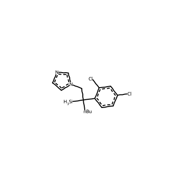 CCCCC([SiH3])(Cn1ccnc1)c1ccc(Cl)cc1Cl